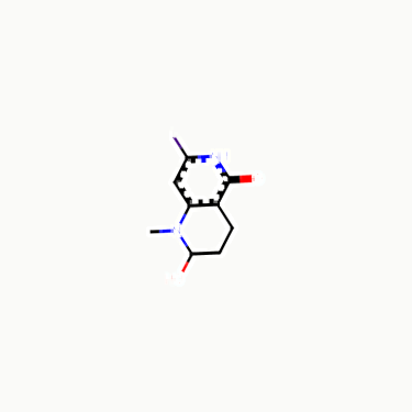 CN1c2cc(I)[nH]c(=O)c2CCC1O